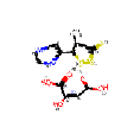 Cc1c(-c2cnccn2)ssc1=S.O=C(O)/C=C(/O)C(=O)O